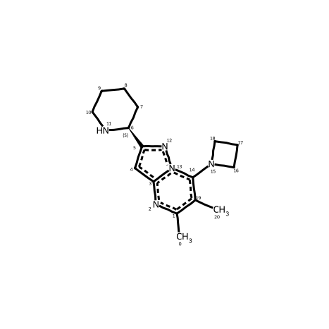 Cc1nc2cc([C@@H]3CCCCN3)nn2c(N2CCC2)c1C